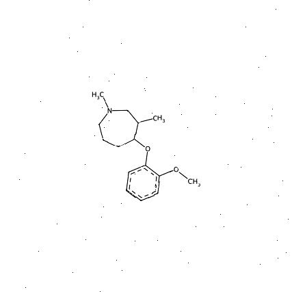 COc1ccccc1OC1CCCN(C)CC1C